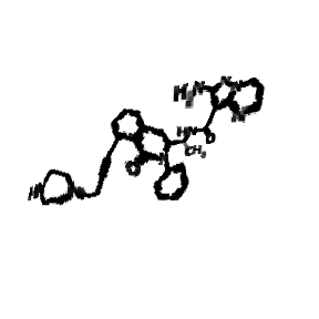 C[C@@H](NC(=O)c1c(N)nn2cccnc12)c1cc2cccc(C#CCN3CCNCC3)c2c(=O)n1-c1ccccc1